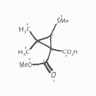 COC(=O)C1(C(=O)O)C(SC)C1(C)C